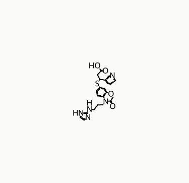 O=C(O)CC(Sc1ccc2c(c1)OCC(=O)N2CCCNc1ncc[nH]1)c1cccnc1